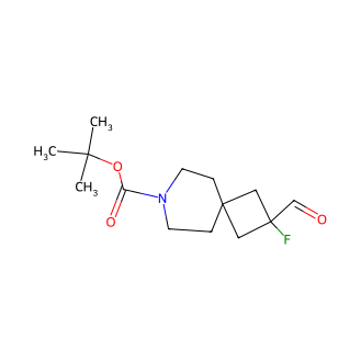 CC(C)(C)OC(=O)N1CCC2(CC1)CC(F)(C=O)C2